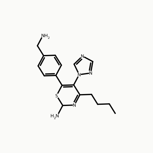 CCCCC1=NC(N)SC(c2ccc(CN)cc2)=C1n1cncn1